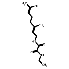 CCNC(=O)C(=O)NC/C=C(\C)CCC=C(C)C